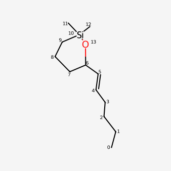 CCCCC=CC1CCC[Si](C)(C)O1